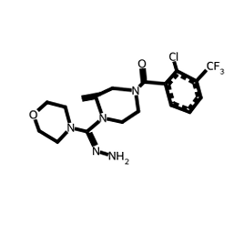 C=C1CN(C(=O)c2cccc(C(F)(F)F)c2Cl)CCN1/C(=N\N)N1CCOCC1